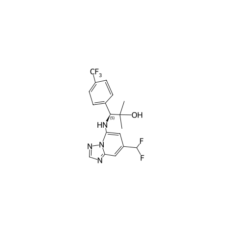 CC(C)(O)[C@@H](Nc1cc(C(F)F)cc2ncnn12)c1ccc(C(F)(F)F)cc1